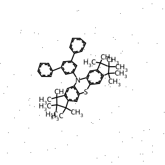 CC1(C)c2cc3c(cc2C(C)(C)C1(C)C)N(c1cc(-c2ccccc2)cc(-c2ccccc2)c1)c1cc2c(cc1S3)C(C)(C)C(C)(C)C2(C)C